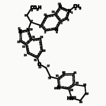 Cn1cc2ncc(C(CC(=O)O)n3ncc4cc(OCCc5ccc6c(n5)NCCC6)ccc43)cc2n1